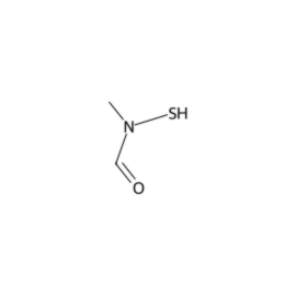 CN(S)C=O